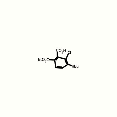 CCCCc1ccc(C(=O)OCC)c(C(=O)O)c1Cl